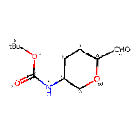 CC(C)(C)OC(=O)NC1CCC(C=O)OC1